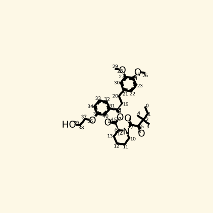 CCC(C)(C)C(=O)C(=O)N1CCCC[C@H]1C(=O)O[C@H](CCc1ccc(OC)c(OC)c1)c1cccc(OCCO)c1